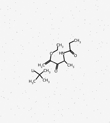 C=C(OCC)C(=O)C(C)NC(=O)CC.[Li][C](C)(C)C